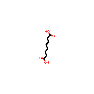 O=C(O)CC=CCCCC(=O)O